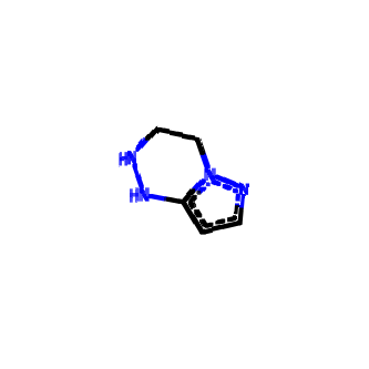 c1cc2n(n1)CCNN2